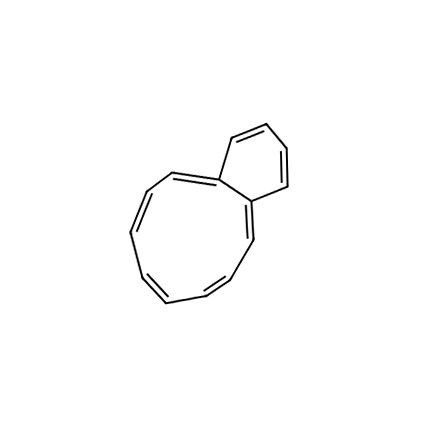 c1ccccc2ccccc2ccc1